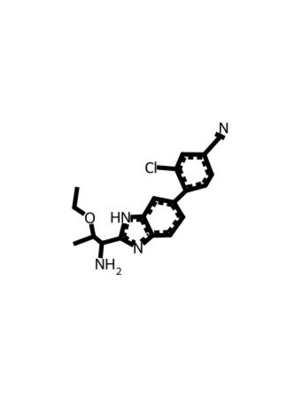 CCOC(C)C(N)c1nc2ccc(-c3ccc(C#N)cc3Cl)cc2[nH]1